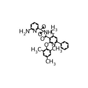 Cc1cc(C)c(Oc2nc(-c3ccccc3)cc(C)c2C(=O)NS(=O)(=O)c2cccc(N)n2)c(C)c1